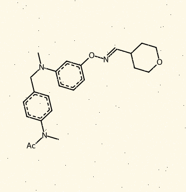 CC(=O)N(C)c1ccc(CN(C)c2cccc(ON=CC3CCOCC3)c2)cc1